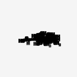 CCC1OC(OC2C(C(=O)O)OC(OC3C(COS(=O)(=O)O)OC(OC4C(C(=O)O)OC(OCCCCCCNC(=O)CCO)C(OS(=O)(=O)O)C4O)C(NC(C)=O)C3O)C(OS(=O)(=O)O)C2O)C(NC(C)=O)C(O)C1O